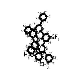 Cc1ccc(-c2ccc3c4ccccc4n(-c4c(-c5nc(-c6ccccc6)cc(-c6ccccc6)n5)cc(C(F)(F)F)cc4-c4nc(-c5ccccc5)cc(-c5ccccc5)n4)c3c2)c(C)c1